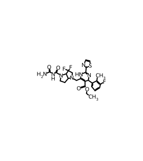 CCOC(=O)C1=C(CN2CC(F)(F)C3C2CCN3C(=O)NC(N)=O)NC(c2nccs2)=NC1c1cccc(F)c1C